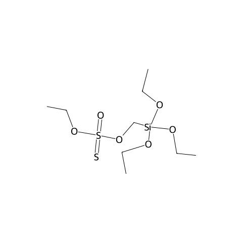 CCO[Si](COS(=O)(=S)OCC)(OCC)OCC